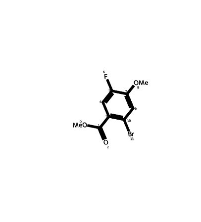 COC(=O)c1cc(F)c(OC)cc1Br